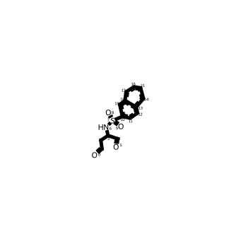 O=[C]CC([C]=O)NS(=O)(=O)c1ccc2ccccc2c1